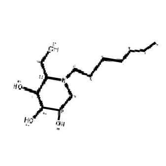 CCCCCCCN1CC(O)C(O)C(O)C1CO